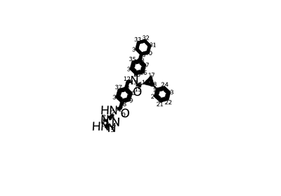 O=C(Nc1nn[nH]n1)c1ccc(CN(C(=O)[C@@H]2C[C@H]2c2ccccc2)c2ccc(C3CCCCC3)cc2)cc1